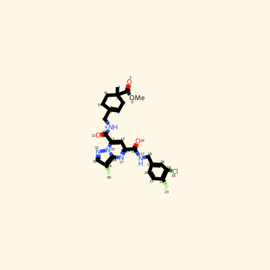 COC(=O)C1(C)CC=C(CNC(=O)c2cc(C(=O)NCc3ccc(F)c(Cl)c3)nc3c(F)cnn23)CC1